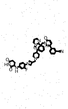 N#Cc1cccc(-c2ccc(=O)n(CC3(C4N=CC=CN4OCC4CCN(CC5CN(c6ccc(NC7CCC(=O)NC7=O)cc6F)C5)CC4)C=CC=CC3)n2)c1